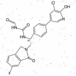 O=CNC(=O)N[C@@H](CN1Cc2ccc(F)cc2C1=O)c1ccc(-c2cnc(O)c(Cl)c2)cc1